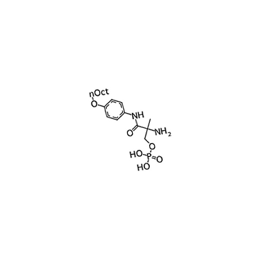 CCCCCCCCOc1ccc(NC(=O)C(C)(N)COP(=O)(O)O)cc1